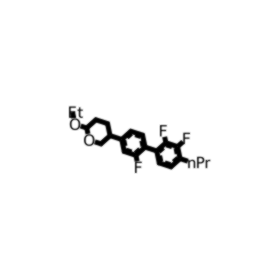 CCCc1ccc(-c2ccc(C3CCC(OCC)OC3)cc2F)c(F)c1F